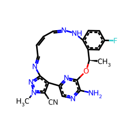 C[C@H]1Oc2nc(cnc2N)-c2c(nn(C)c2C#N)/N=C/C=C\C=N/Nc2ccc(F)cc21